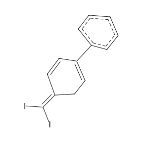 IC(I)=C1C=CC(c2ccccc2)=CC1